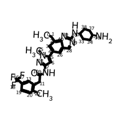 CCc1cc(-c2cc(NC(=O)Cc3cc(C(F)(F)F)ccc3C)nn2C)cc2cnc(N[C@H]3CC[C@H](N)CC3)nc12